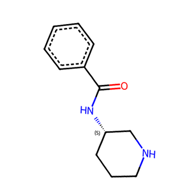 O=C(N[C@H]1CCCNC1)c1ccccc1